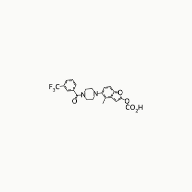 Cc1c(N2CCN(C(=O)c3cccc(C(F)(F)F)c3)CC2)ccc2oc(OC(=O)O)cc12